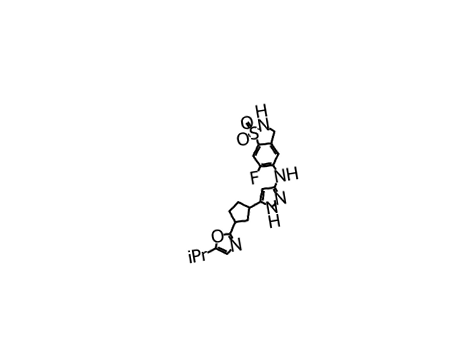 CC(C)c1cnc(C2CCC(c3cc(Nc4cc5c(cc4F)S(=O)(=O)NC5)n[nH]3)C2)o1